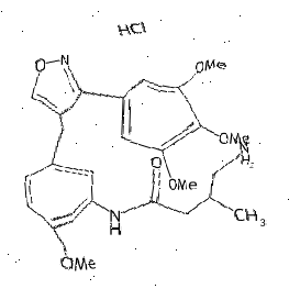 COc1ccc(-c2conc2-c2cc(OC)c(OC)c(OC)c2)cc1NC(=O)CC(C)CN.Cl